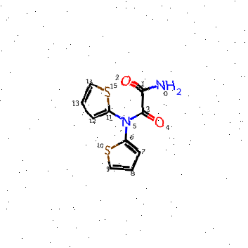 NC(=O)C(=O)N(c1cccs1)c1cccs1